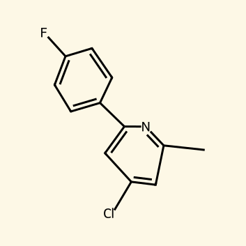 Cc1cc(Cl)cc(-c2ccc(F)cc2)n1